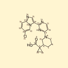 O=C(O)C1(C2CCCN(c3ccnc(-c4cnc5ccc(Cl)cn45)n3)C2)CC1